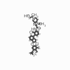 CCc1c(C2CC2)cc(OC2CCc3c(-c4cccc(NC(=O)c5nc6c(n5C)CCN(C(C)CO)C6)c4Cl)cccc32)c(Cl)c1F